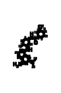 Cc1ccc(NC(=O)c2cccc(C(F)(F)F)c2)cc1Nc1ncnc2c(N)nc(N(C)C)nc12